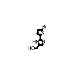 OCc1cnc(-c2ccc(Br)s2)[nH]1